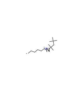 [CH2]CCCC/[C]=N/C(C)(C)CC(C)(C)C